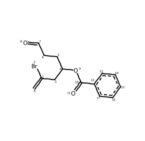 C=C(Br)CC(CCC=O)OC(=O)c1ccccc1